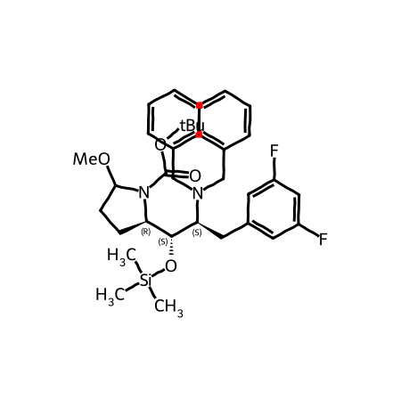 COC1CC[C@H]([C@@H](O[Si](C)(C)C)[C@H](Cc2cc(F)cc(F)c2)N(Cc2ccccc2)Cc2ccccc2)N1C(=O)OC(C)(C)C